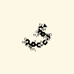 Cn1nc(C2CCC(=O)NC2=O)c2cc(F)c(C3CCN(C[C@H]4CCN(c5ncc(Cl)c(Nc6cc7c8c(c(=O)n(C)c7cc6F)OCC(F)(F)[C@H](C6CC6)N8)n5)C[C@H]4F)CC3)cc21